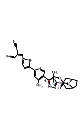 CC(C)(C)OC(=O)N1C2CCC1CN(c1nnc(-c3cnc(-c4ccc(/C=C(/C#N)C=N)[nH]4)cc3N)s1)C2